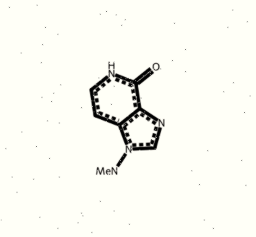 CNn1cnc2c(=O)[nH]ccc21